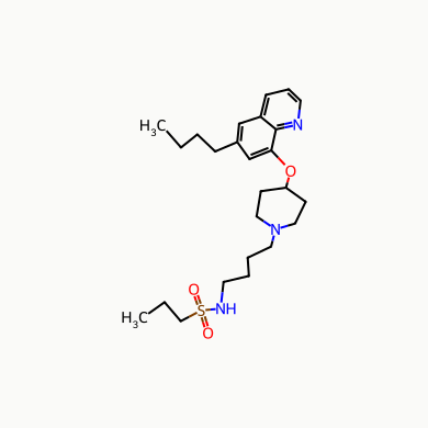 CCCCc1cc(OC2CCN(CCCCNS(=O)(=O)CCC)CC2)c2ncccc2c1